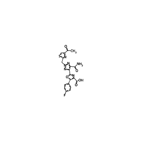 CC(=O)c1csc(Cn2nc(C(N)=O)c(-c3nc(C(=O)O)c(-c4ccc(F)cc4)o3)n2)n1